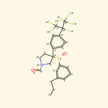 CCCc1cccc([S+]([O-])C2(c3ccc(C(F)(C(F)(F)F)C(F)(F)F)cc3)CCN(C=O)C2)c1